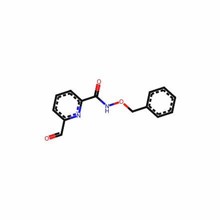 O=Cc1cccc(C(=O)NOCc2ccccc2)n1